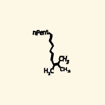 CCCCCC=CCCC=CC(C)=C(C)C